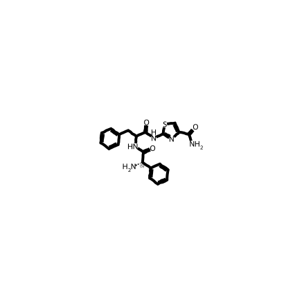 NC(=O)c1csc(NC(=O)C(Cc2ccccc2)NC(=O)[C@@H](N)c2ccccc2)n1